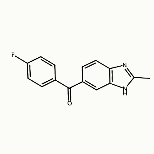 Cc1nc2ccc(C(=O)c3ccc(F)cc3)cc2[nH]1